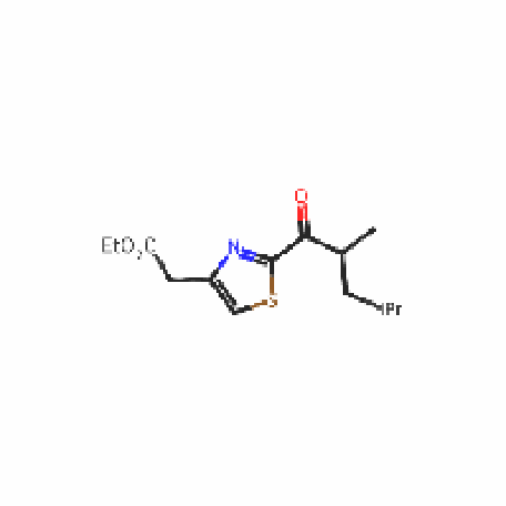 CCOC(=O)Cc1csc(C(=O)C(C)CC(C)C)n1